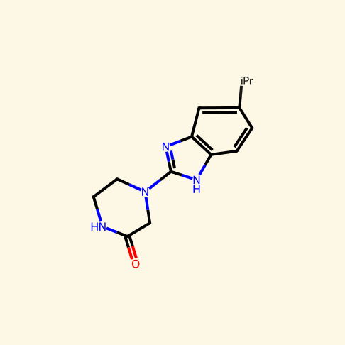 CC(C)c1ccc2[nH]c(N3CCNC(=O)C3)nc2c1